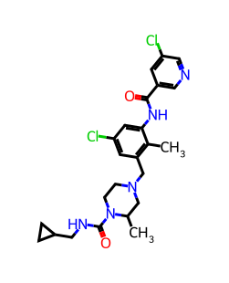 Cc1c(CN2CCN(C(=O)NCC3CC3)C(C)C2)cc(Cl)cc1NC(=O)c1cncc(Cl)c1